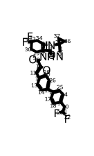 N#CC1(NC(=O)C2(NC(=O)c3cc4ccc(-c5ccc(CC(F)F)cc5)cc4o3)CCC(F)(F)CC2)CC1